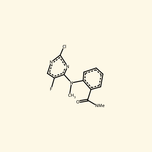 CNC(=O)c1ccccc1N(C)c1nc(Cl)ncc1F